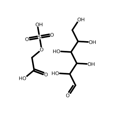 O=C(O)COS(=O)(=O)O.O=CC(O)C(O)C(O)C(O)CO